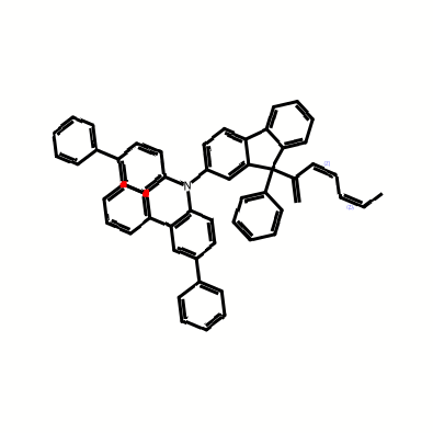 C=C(/C=C\C=C/C)C1(c2ccccc2)c2ccccc2-c2ccc(N(c3ccc(-c4ccccc4)cc3)c3ccc(-c4ccccc4)cc3-c3ccccc3)cc21